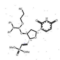 COP(=O)(/C=C/[C@H]1O[C@@H](n2ccc(=O)[nH]c2=O)C[C@@H]1OP(OCCC#N)N(C(C)C)C(C)C)OC